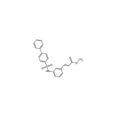 COC(=O)C=Cc1cccc(NS(=O)(=O)c2ccc(-c3ccccc3)cc2)c1